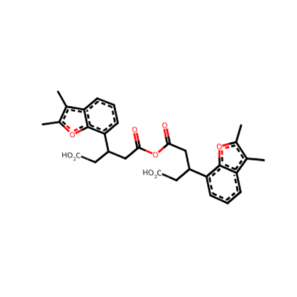 Cc1oc2c(C(CC(=O)O)CC(=O)OC(=O)CC(CC(=O)O)c3cccc4c(C)c(C)oc34)cccc2c1C